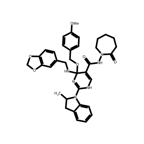 COc1ccc(COC2(NCc3ccc4c(c3)OCO4)N=C(N3c4ccccc4CC3C)NC=C2C(=O)NN2CCCCCC2=O)cc1